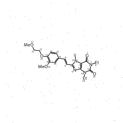 CCn1c(=O)c2c(nc(C=Cc3ccc(OCCOC)c(OC)c3)n2C)n(CC)c1=O